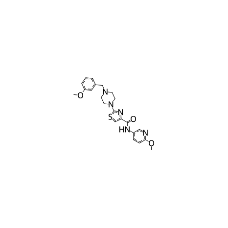 COc1cccc(CN2CCN(c3nc(C(=O)Nc4ccc(OC)nc4)cs3)CC2)c1